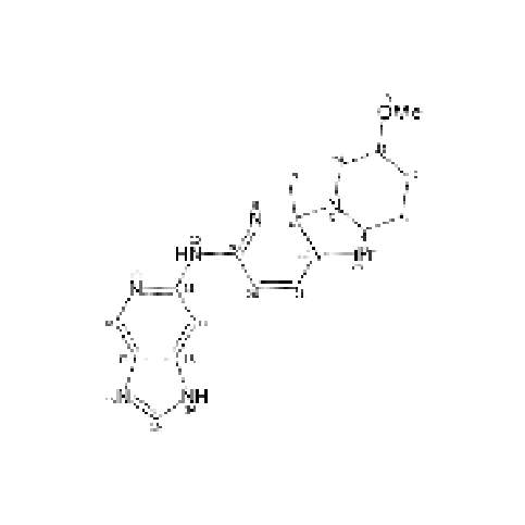 COC1CCCN(C2(C)N=C(Nc3cc4[nH]cnc4cn3)C=CN2C(C)C)C1